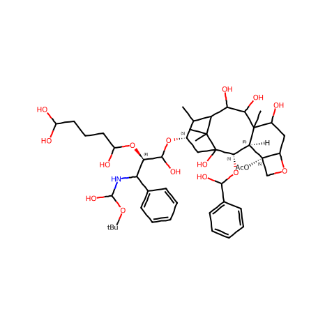 CC(=O)O[C@@]12COC1CC(O)C1(C)C(O)C(O)C3C(C)[C@@H](OC(O)[C@H](OC(O)CCCC(O)O)C(NC(O)OC(C)(C)C)c4ccccc4)CC(O)([C@@H](OC(O)c4ccccc4)[C@@H]12)C3(C)C